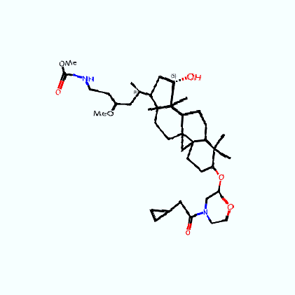 COC(=O)NCCC(C[C@@H](C)C1C[C@H](O)C2(C)C3CCC4C(C)(C)C(OC5CN(C(=O)CC6CC6)CCO5)CCC45CC35CCC12C)OC